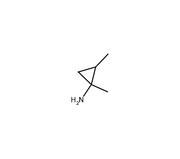 CC1CC1(C)N